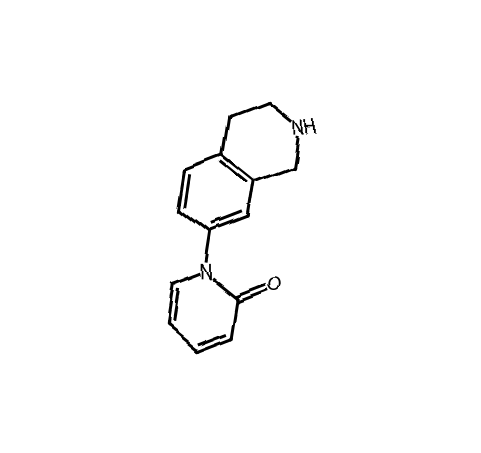 O=c1ccccn1-c1ccc2c(c1)CNCC2